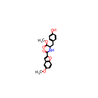 COC(=O)C(Cc1ccc(O)cc1)NC(=O)c1cc2cc(OC)ccc2o1